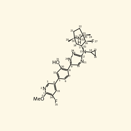 COc1ncc(-c2ccc(-c3cnc(N(C4CC4)[C@H]4C[C@]5(C)CC[C@@](C)(N5)[C@H]4F)nn3)c(O)c2)cc1F